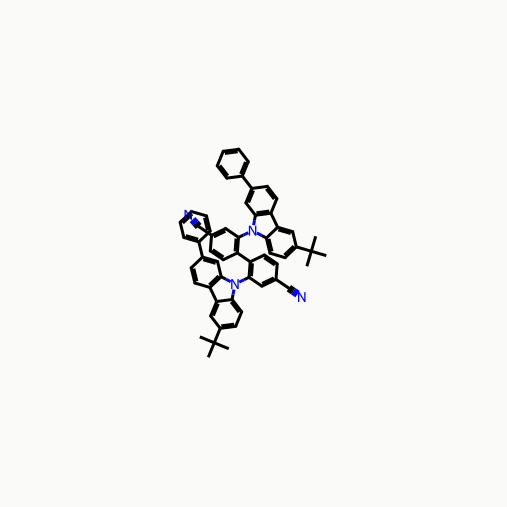 CC(C)(C)c1ccc2c(c1)c1ccc(-c3ccccc3)cc1n2-c1cc(C#N)ccc1-c1ccc(C#N)cc1-n1c2ccc(C(C)(C)C)cc2c2ccc(-c3ccccc3)cc21